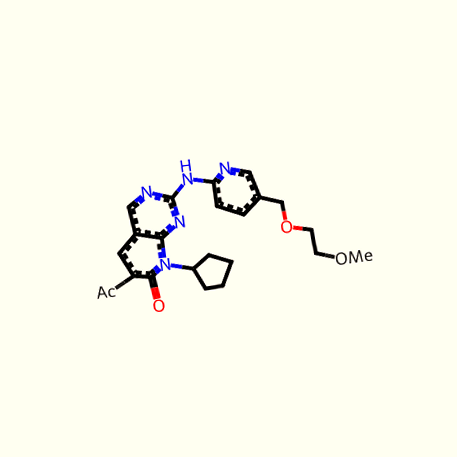 COCCOCc1ccc(Nc2ncc3cc(C(C)=O)c(=O)n(C4CCCC4)c3n2)nc1